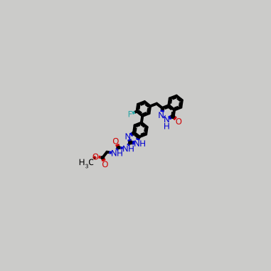 COC(=O)CNC(=O)Nc1nc2cc(-c3cc(Cc4n[nH]c(=O)c5ccccc45)ccc3F)ccc2[nH]1